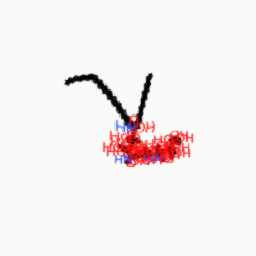 CCCCCCCC/C=C\CCCCCCCCCCCCCCCC(=O)N[C@@H](CO[C@@H]1OC(CO)[C@@H](O[C@@H]2OC(CO)[C@H](O)[C@H](O[C@@H]3OC(CO)[C@@H](O[C@@H]4OC(CO)[C@H](O)[C@H](O[C@@H]5OC(CO)[C@@H](O[C@@H]6OC(CO)[C@H](O)[C@H](O)C6O[C@H]6OC(C)[C@@H](O)C(O)[C@@H]6O)[C@H](O)C5NC(C)=O)C4O)[C@H](O)C3NC(C)=O)C2O)[C@H](O)C1O)[C@H](O)/C=C/CCCCCCCCCCCCC